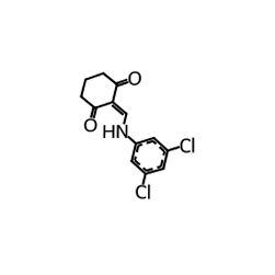 O=C1CCCC(=O)C1=CNc1cc(Cl)cc(Cl)c1